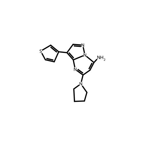 Nc1cc(N2CCCC2)nc2c(-c3ccsc3)cnn12